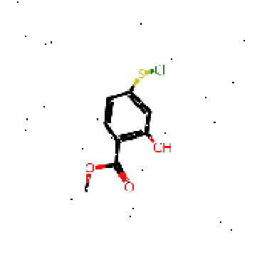 COC(=O)c1ccc(SCl)cc1O